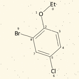 C[CH]Oc1ccc(Cl)cc1Br